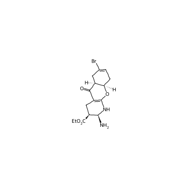 CCOC(=O)[C@H]1CC2=C(N[C@H]1N)O[C@@H]1CC=C(Br)C[C@@H]1C2=O